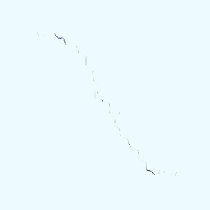 CCCCCCCC/C=C\CCCCCCCCNCCOCCCCCCCC/C=C\CCCCCCCC